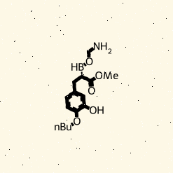 CCCCOc1ccc(C[C@H](BOCN)C(=O)OC)cc1O